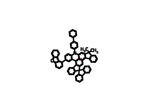 CC1(C)c2ccccc2-c2ccc(N(c3ccc(-c4ccccc4)cc3)c3ccc(-c4cccc5oc6ccccc6c45)cc3-c3cccc4c3-c3ccccc3C43c4ccccc4-c4ccccc43)cc21